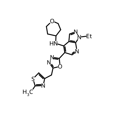 CCn1ncc2c(NC3CCOCC3)c(-c3nnc(Cc4csc(C)n4)o3)cnc21